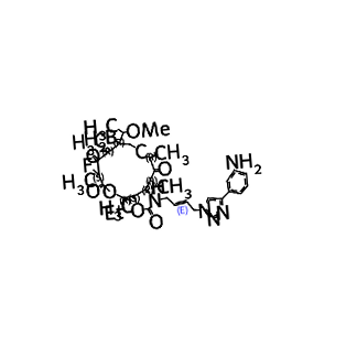 B[C@@]1(C(C)OC)CC[C@@H](C)C(=O)[C@H](C)[C@H]2N(C/C=C/Cn3cc(-c4cccc(N)c4)nn3)C(=O)O[C@]2(C)[C@@H](CC)OC(=O)[C@@](C)(F)C(=O)[C@@H]1C